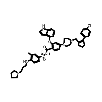 Cc1cc(S(=O)(=O)NC(=O)c2ccc(N3CCN(CC4=C(c5ccc(Cl)cc5)CCC4)CC3)cc2Oc2cccc3[nH]ccc23)ccc1NCCCN1CCCC1